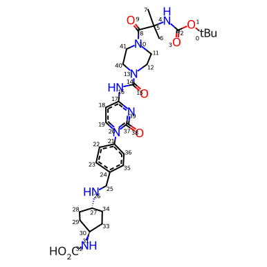 CC(C)(C)OC(=O)NC(C)(C)C(=O)N1CCN(C(=O)Nc2ccn(-c3ccc(CN[C@H]4CC[C@H](NC(=O)O)CC4)cc3)c(=O)n2)CC1